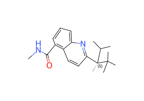 CNC(=O)c1cccc2nc([C@@](C)(C(C)C)C(C)(C)C)ccc12